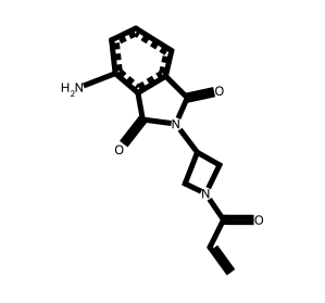 C=CC(=O)N1CC(N2C(=O)c3cccc(N)c3C2=O)C1